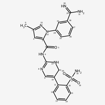 Cc1cc(C(=O)NC2=NC=C(c3ccccc3S(N)(=O)=O)CN2)n(-c2cccc(C(=N)N)c2)n1